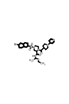 CCSC(C)NC(=O)C1CN(S(=O)(=O)c2ccc3cc(Br)ccc3c2)CCN1C(=O)C1CCN(c2ccncc2)CC1